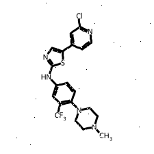 CN1CCN(c2ccc(Nc3ncc(-c4ccnc(Cl)c4)s3)cc2C(F)(F)F)CC1